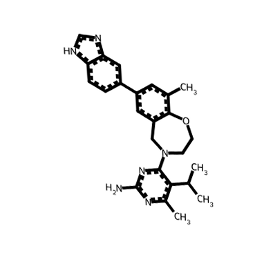 Cc1cc(-c2ccc3[nH]cnc3c2)cc2c1OCCN(c1nc(N)nc(C)c1C(C)C)C2